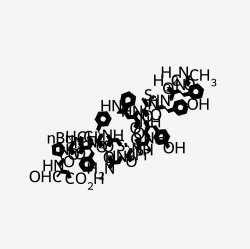 CCCC[C@@H](C(=O)N1CCC[C@@H]1C(=O)N[C@H](C=O)CC(=O)O)N(C)C(=O)[C@H](Cc1ccccc1)N(C)C(=O)[C@H](Cc1ccccc1)NC(=O)CSC[C@H](NC(=O)[C@H](CC(C)C)NC(=O)[C@H](Cc1ccc(O)cc1)NC(=O)C(Cc1c[nH]c2ccccc12)NC(=O)[C@H]1CSCN1C(=O)[C@H](Cc1ccc(O)cc1)NCC(=O)[C@H](Cc1ccccc1)N(C)C(=O)[C@H](C)N)C(=O)NCC(N)=O